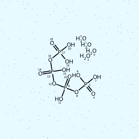 O.O.O.O.O=P(O)(O)OP(=O)(O)OP(=O)(O)OP(=O)(O)O